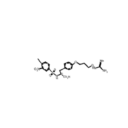 Cc1ccc(S(=O)(=O)N[C@@H](Cc2ccc(OCCCONC(=N)N)cc2)C(=O)O)cc1[N+](=O)[O-]